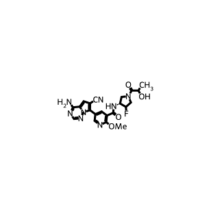 COc1ncc(-c2c(C#N)cc3c(N)ncnn23)cc1C(=O)N[C@@H]1CN(C(=O)C(C)O)CC1F